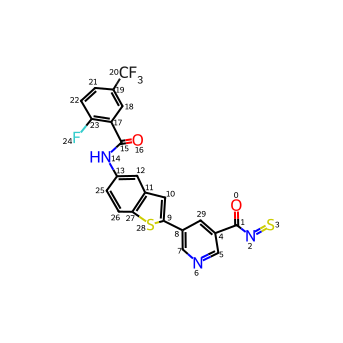 O=C(N=S)c1cncc(-c2cc3cc(NC(=O)c4cc(C(F)(F)F)ccc4F)ccc3s2)c1